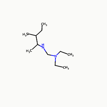 CCC([SiH3])C(C)NCN(CC)CC